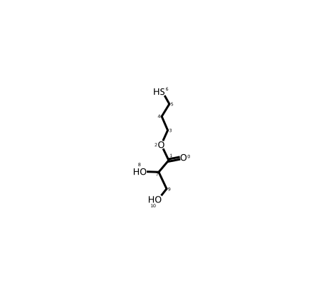 O=C(OCCCS)C(O)CO